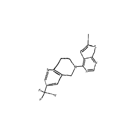 Cc1cc2c(N3CCc4ncc(C(F)(F)F)cc4C3)ncnc2s1